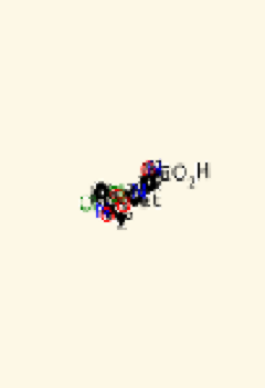 CC[C@@H]1C[C@H](OC(=O)c2c(-c3c(Cl)cccc3Cl)noc2C2CC2)CCN1c1ccc2c(C(=O)O)noc2c1